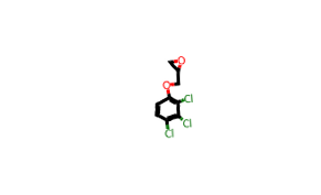 Clc1ccc(OCC2CO2)c(Cl)c1Cl